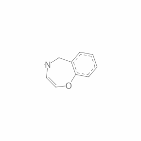 C1=COc2ccccc2C[N]1